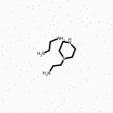 NCCN.NCCN1CCNCC1